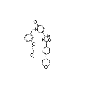 COCCOc1cccc(Cn2cc(-c3noc(C4=CC=C(C5CCOCC5)CC4)n3)ccc2=O)c1